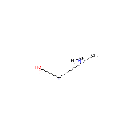 CCCCCCC(CCCCCCCCCC/C=C\CCCCCCCC(=O)O)N(C)C